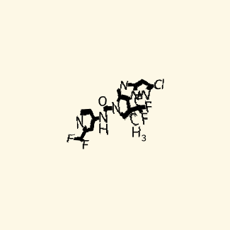 C[C@@]1(C(F)(F)F)CN(C(=O)Nc2ccnc(C(F)F)c2)c2cnc3cc(Cl)nn3c21